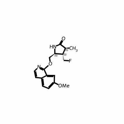 COc1ccc2ccnc(OC[C@H]3NC(=O)[C@@H](C)[C@@H]3CF)c2c1